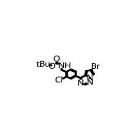 CC(C)(C)OC(=O)NCc1ccc(-c2ncnn3cc(Br)cc23)cc1Cl